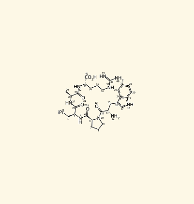 CC(C)C[C@H](NC(=O)[C@@H]1CCCN1C(=O)[C@@H](N)Cc1c[nH]c2ccccc12)C(=O)N[C@@H](C)C(=O)N[C@@H](CCCNC(=N)N)C(=O)O